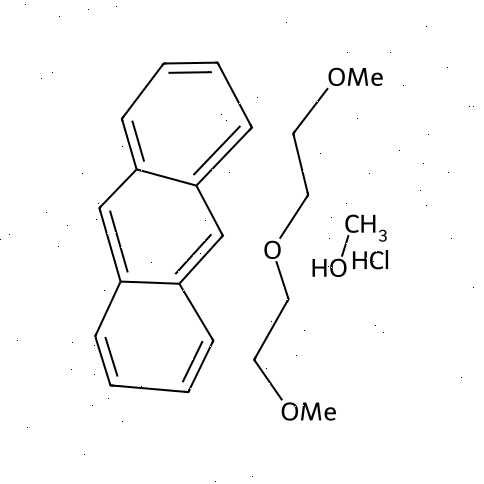 CO.COCCOCCOC.Cl.c1ccc2cc3ccccc3cc2c1